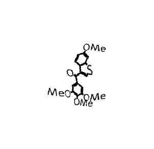 COC1=CC2SC=C(C(=O)c3cc(OC)c(OC)c(OC)c3)C2C=C1